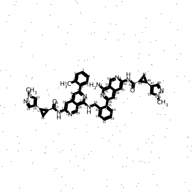 Cc1ccccc1-c1cc2cc(NC(=O)[C@H]3C[C@@H]3c3cnn(C)c3)ncc2c(NCc2ccccc2-c2cc3cc(NC(=O)[C@@H]4C[C@H]4c4cnn(C)c4)ncc3c(N)n2)n1